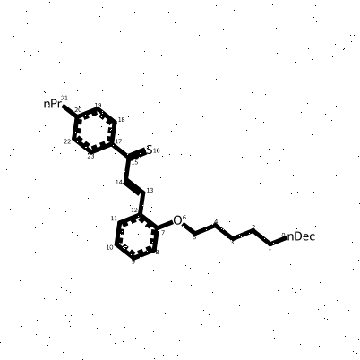 CCCCCCCCCCCCCCCOc1ccccc1C=CC(=S)c1ccc(CCC)cc1